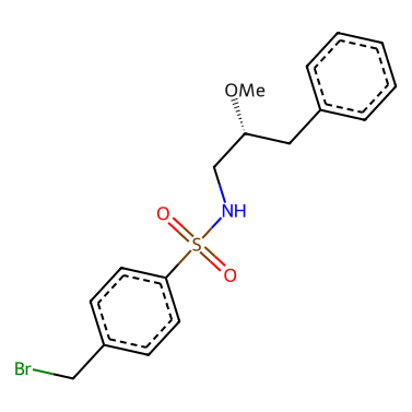 CO[C@@H](CNS(=O)(=O)c1ccc(CBr)cc1)Cc1ccccc1